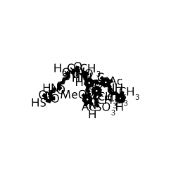 COc1cc(C(C)=O)c(NC(C(C)Cc2ccccc2C)S(=O)(=O)O)cc1OCc1cc(COc2cc(NC[C@@H](C)Cc3ccccc3C)c(C(C)=O)cc2C)cc(NC(=O)[C@H](C)NC(=O)[C@H](C)NC(=O)CCCCC(=O)NCCN2C(=O)CC(S)C2=O)c1